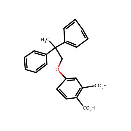 CC(COc1ccc(C(=O)O)c(C(=O)O)c1)(c1ccccc1)c1ccccc1